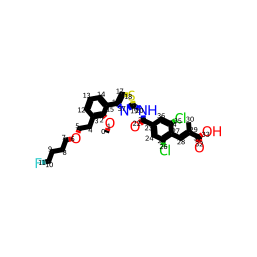 COc1c(CCOCCCCF)cccc1-c1csc(NC(=O)c2cc(Cl)c(C=C(C)C(=O)O)c(Cl)c2)n1